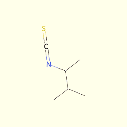 CC(C)C(C)N=C=S